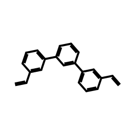 C=Cc1cccc(-c2cccc(-c3cccc(C=C)c3)c2)c1